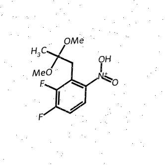 COC(C)(Cc1c([N+](=O)O)ccc(F)c1F)OC